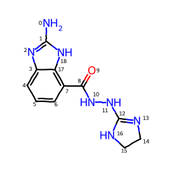 Nc1nc2cccc(C(=O)NNC3=NCCN3)c2[nH]1